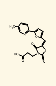 Cc1ccc(-c2ccc(C=C3SC(=S)N(CCC(=O)O)C3=O)o2)nc1